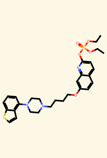 CCOP(=O)(OCC)Oc1ccc2ccc(OCCCCN3CCN(c4cccc5sccc45)CC3)cc2n1